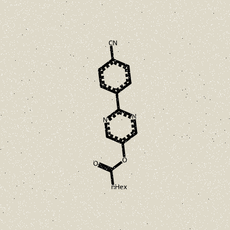 CCCCCCC(=O)Oc1cnc(-c2ccc(C#N)cc2)nc1